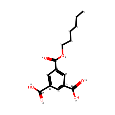 CCCCCCOC(=O)c1cc(C(=O)O)cc(C(=O)O)c1